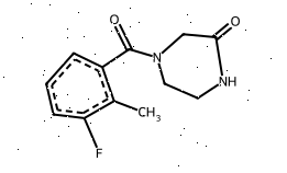 Cc1c(F)cccc1C(=O)N1CCNC(=O)C1